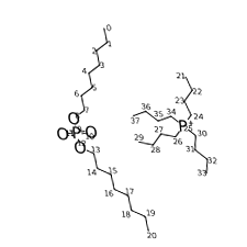 CCCCCCCCOP(=O)([O-])OCCCCCCCC.CCCC[P+](CCCC)(CCCC)CCCC